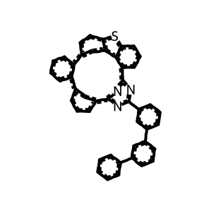 c1ccc(-c2cccc(-c3cccc(-c4nc5nc(n4)c4cccc6sc7ccc(cc7c64)c4ccccc4c4cccc5c4)c3)c2)cc1